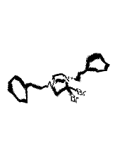 BrC1(Br)C[N+]2(CCc3ccccc3)CC[N+]1(CCc1ccccc1)CC2